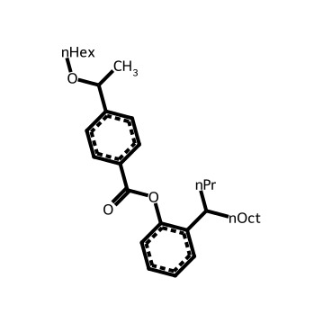 CCCCCCCCC(CCC)c1ccccc1OC(=O)c1ccc(C(C)OCCCCCC)cc1